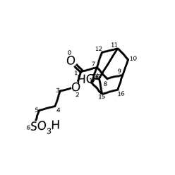 O=C(OCCCS(=O)(=O)O)C12CC3CC(C1)C(O)C(C3)C2